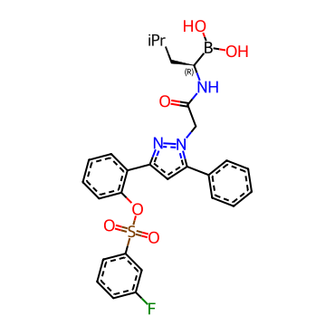 CC(C)C[C@H](NC(=O)Cn1nc(-c2ccccc2OS(=O)(=O)c2cccc(F)c2)cc1-c1ccccc1)B(O)O